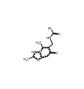 Cc1nc2cc(=O)c(CNC(=O)C(C)C)c(C)n2[nH]1